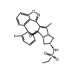 CCS(=O)(=O)N[C@@H]1Cn2c(C)c(-c3noc4cccc(-c5c(F)cccc5F)c34)c(=O)n2C1